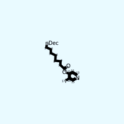 CCCCCCCCCCCCCCCCCC(=O)Oc1c[c]ncc1I